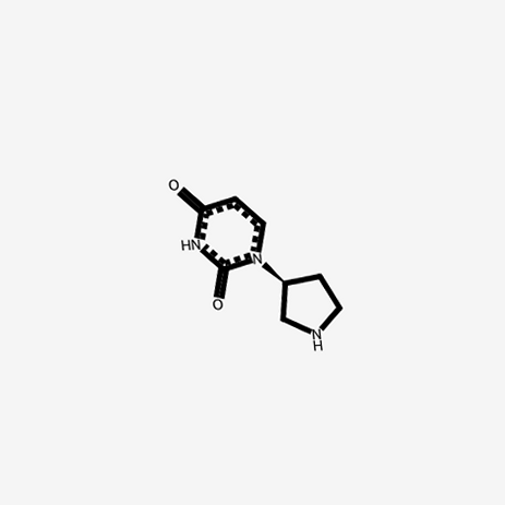 O=c1ccn([C@H]2CCNC2)c(=O)[nH]1